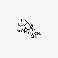 CC(=O)OC1[C@@H](C)C(C)O[C@@H]2OC(C)(C)O[C@@H]12